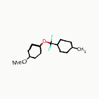 COC1CCC(OC(F)(F)C2CCC(C)CC2)CC1